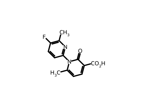 Cc1nc(-n2c(C)ccc(C(=O)O)c2=O)ccc1F